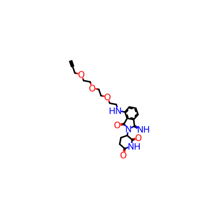 C#CCOCCOCCOCCNc1cccc2c1C(=O)N(C1CCC(=O)NC1=O)C2=N